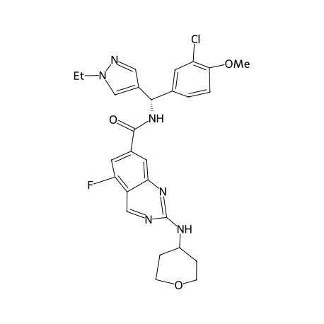 CCn1cc([C@@H](NC(=O)c2cc(F)c3cnc(NC4CCOCC4)nc3c2)c2ccc(OC)c(Cl)c2)cn1